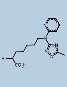 CCC(CCCCCN(c1ccccn1)c1nc(C)ns1)C(=O)O